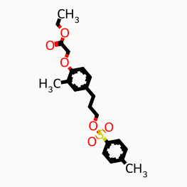 CCOC(=O)COc1ccc(CCCOS(=O)(=O)c2ccc(C)cc2)cc1C